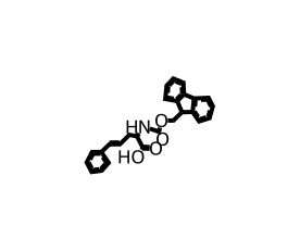 O=C(NC(CC=Cc1ccccc1)C(=O)O)OCC1c2ccccc2-c2ccccc21